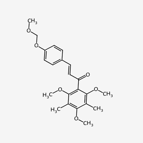 COCOc1ccc(C=CC(=O)c2c(OC)c(C)c(OC)c(C)c2OC)cc1